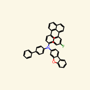 Fc1cccc(-c2cccc3cccc(-c4ccc(N(c5ccc(-c6ccccc6)cc5)c5ccc6c(c5)oc5ccccc56)cc4)c23)c1